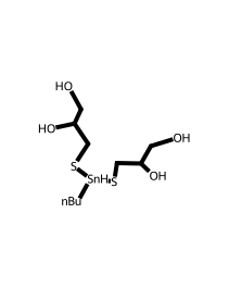 CCC[CH2][SnH]([S]CC(O)CO)[S]CC(O)CO